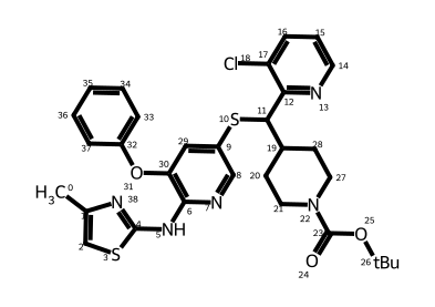 Cc1csc(Nc2ncc(SC(c3ncccc3Cl)C3CCN(C(=O)OC(C)(C)C)CC3)cc2Oc2ccccc2)n1